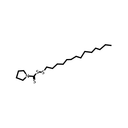 CCCCCCCCCCCCCCSSC(=S)N1CCCC1